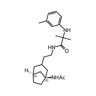 CC(=O)N[C@]12CC[C@@H](CC(CCNC(=O)C(C)(C)Nc3cccc(C)c3)C1)C2